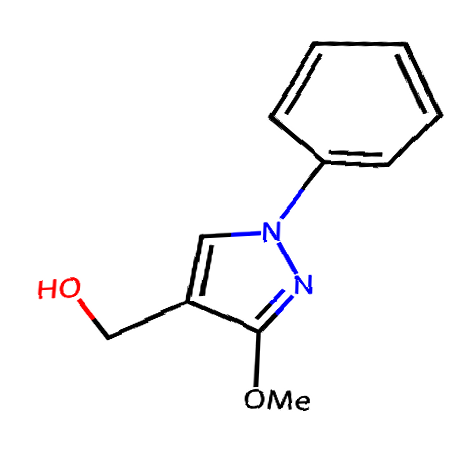 COc1nn(-c2ccccc2)cc1CO